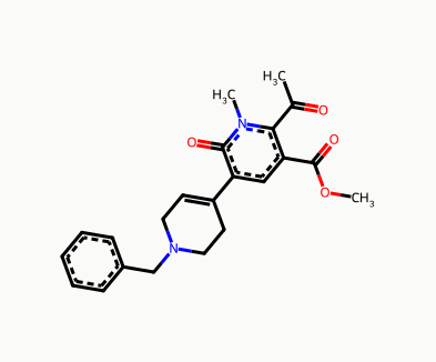 COC(=O)c1cc(C2=CCN(Cc3ccccc3)CC2)c(=O)n(C)c1C(C)=O